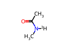 [2H]N(C)C(C)=O